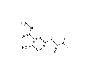 CC(C)C(=O)Nc1ccc(O)c(C(=O)NN)c1